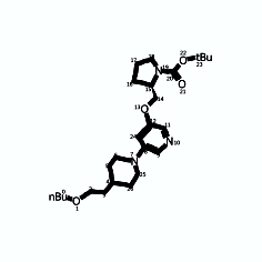 CCCCOCCC1CCN(c2cncc(OC[C@H]3CCCN3C(=O)OC(C)(C)C)c2)CC1